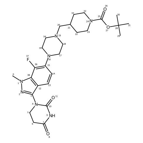 Cn1nc(N2CCC(=O)NC2=O)c2ccc(N3CCN(CC4CCN(C(=O)OC(C)(C)C)CC4)CC3)c(F)c21